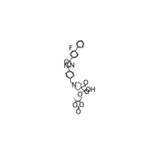 Cc1oc(=O)oc1COC(=O)C1(C(=O)O)CCN(Cc2ccc(-c3noc(-c4ccc(-c5ccccc5)c(F)c4)n3)cc2)CC1